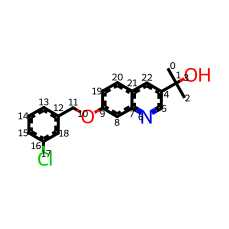 CC(C)(O)c1cnc2cc(OCc3cccc(Cl)c3)ccc2c1